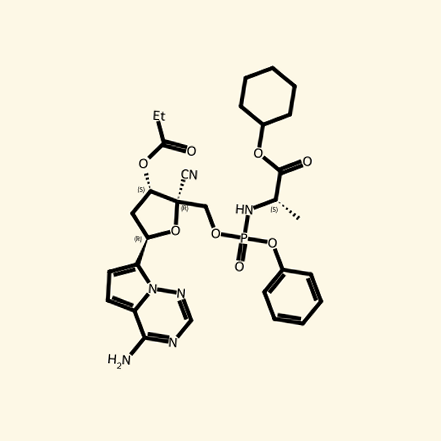 CCC(=O)O[C@H]1C[C@H](c2ccc3c(N)ncnn23)O[C@]1(C#N)COP(=O)(N[C@@H](C)C(=O)OC1CCCCC1)Oc1ccccc1